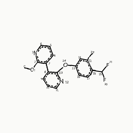 COc1ncccc1-c1cccnc1Oc1ccc(C(F)F)c(C)c1